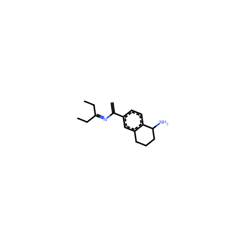 C=C(N=C(CC)CC)c1ccc2c(c1)CCCC2N